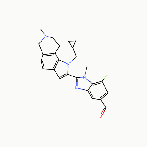 CN1CCc2c(ccc3cc(-c4nc5cc(C=O)cc(F)c5n4C)n(CC4CC4)c23)C1